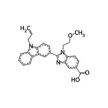 C=CCn1c2ccccc2c2cc(-c3nc4cc(C(=O)O)ccc4n3CCOC)ccc21